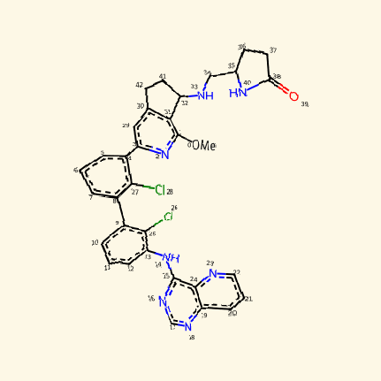 COc1nc(-c2cccc(-c3cccc(Nc4ncnc5cccnc45)c3Cl)c2Cl)cc2c1C(NCC1CCC(=O)N1)CC2